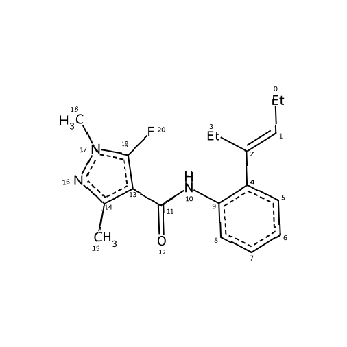 CC/C=C(\CC)c1ccccc1NC(=O)c1c(C)nn(C)c1F